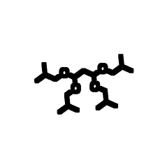 CC(C)COC(CC(OCC(C)C)OCC(C)C)OCC(C)C